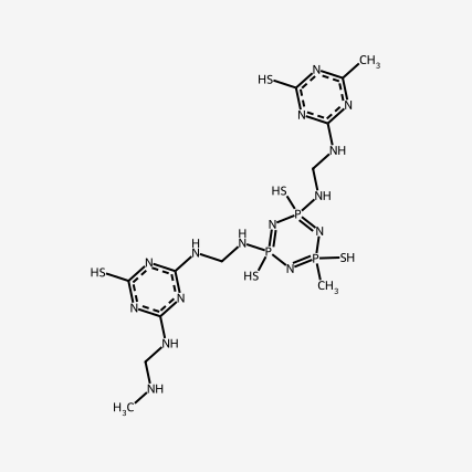 CNCNc1nc(S)nc(NCNP2(S)=NP(S)(NCNc3nc(C)nc(S)n3)=NP(C)(S)=N2)n1